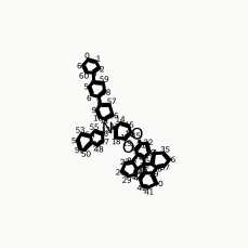 c1ccc(-c2ccc(-c3ccc(N(c4ccc5c(c4)Oc4c(ccc6c4-c4ccccc4C64c6ccccc6-c6ccccc64)O5)c4ccc5ccccc5c4)cc3)cc2)cc1